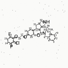 Cc1cccc(CN(C(=O)C2C(c3ccc(OCCOc4c(F)ccc(F)c4Cl)cc3)CC3CNCC32)C2CC2)c1C